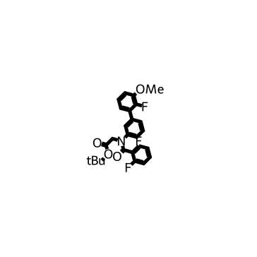 COc1cccc(-c2cccc(N(CC(=O)OC(C)(C)C)C(=O)c3c(F)cccc3F)c2)c1F